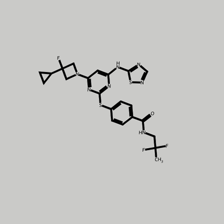 CC(F)(F)CNC(=O)c1ccc(Sc2nc(Nc3ncns3)cc(N3CC(F)(C4CC4)C3)n2)cc1